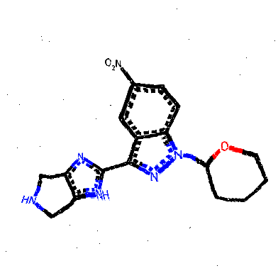 O=[N+]([O-])c1ccc2c(c1)c(-c1nc3c([nH]1)CNC3)nn2C1CCCCO1